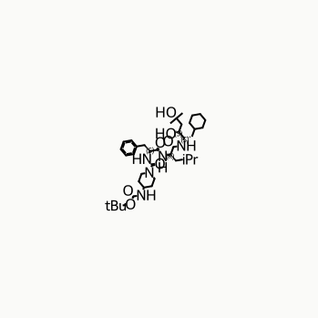 CC(C)C[C@@H](NC(=O)[C@H](Cc1ccccc1)NC(=O)N1CCC(NC(=O)OC(C)(C)C)CC1)C(=O)N[C@@H](CC1CCCCC1)[C@@H](O)CC(C)(C)O